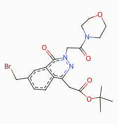 CC(C)(C)OC(=O)Cc1nn(CC(=O)N2CCOCC2)c(=O)c2cc(CBr)ccc12